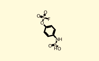 O=[SH](=O)Nc1ccc(OS(=O)(=O)F)cc1